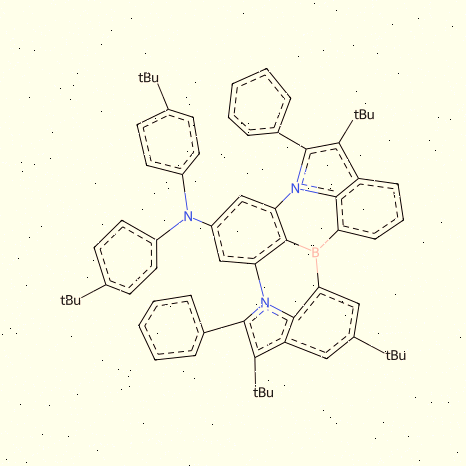 CC(C)(C)c1ccc(N(c2ccc(C(C)(C)C)cc2)c2cc3c4c(c2)-n2c(-c5ccccc5)c(C(C)(C)C)c5cc(C(C)(C)C)cc(c52)B4c2cccc4c(C(C)(C)C)c(-c5ccccc5)n-3c24)cc1